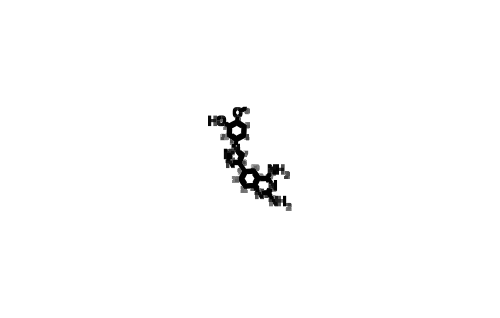 COc1ccc(-n2cc(-c3ccc4nc(N)nc(N)c4c3)nn2)cc1O